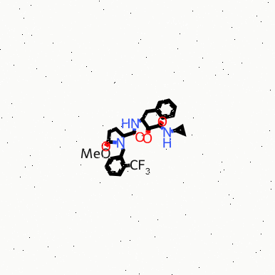 COc1cccc(C(F)(F)F)c1CN1C(=O)CCC1C(=O)NC(Cc1ccccc1)C(=O)C(=O)NC1CC1